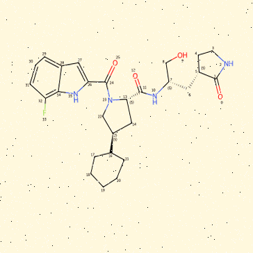 O=C1NCC[C@H]1C[C@@H](CO)NC(=O)[C@@H]1C[C@@H](C2CCCCC2)CN1C(=O)c1cc2cccc(F)c2[nH]1